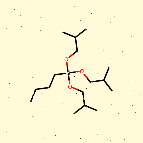 CCCC[Si](OCC(C)C)(OCC(C)C)OCC(C)C